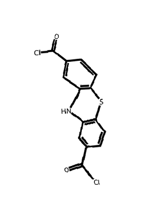 O=C(Cl)c1ccc2c(c1)Nc1cc(C(=O)Cl)ccc1S2